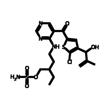 C=C(C)C(O)c1cc(C(=O)c2cncnc2NCCC(CC)COS(N)(=O)=O)sc1Cl